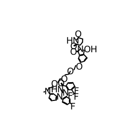 CN(CCOCCOCCOCCOc1ccc2c(c1)C(=O)N(C1CCC(=O)NC1=O)C2O)c1cccc(-n2c(NC(=O)c3cccc(C(F)(F)F)c3)nc3cc(F)ccc32)c1